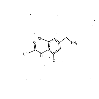 CC(=O)Nc1c(Cl)cc(CN)cc1Cl